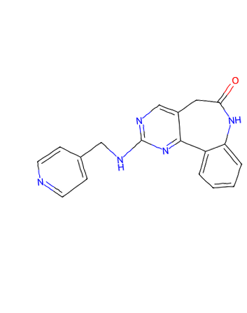 O=C1Cc2cnc(NCc3ccncc3)nc2-c2ccccc2N1